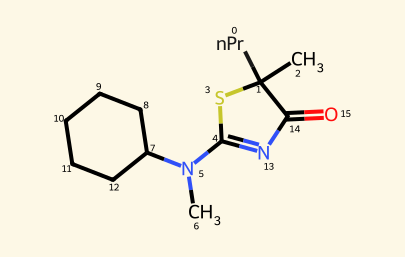 CCCC1(C)SC(N(C)C2CCCCC2)=NC1=O